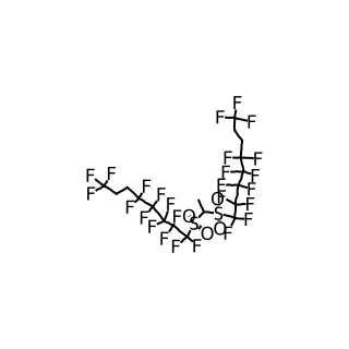 CC(S(=O)(=O)C(F)(F)C(F)(F)C(F)(F)C(F)(F)C(F)(F)CCC(F)(F)F)S(=O)(=O)C(F)(F)C(F)(F)C(F)(F)C(F)(F)C(F)(F)CCC(F)(F)F